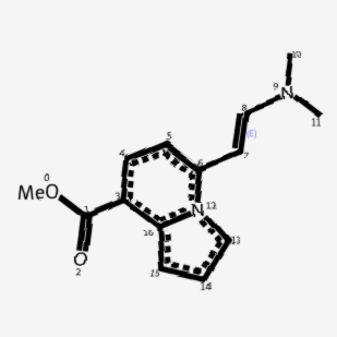 COC(=O)c1ccc(/C=C/N(C)C)n2cccc12